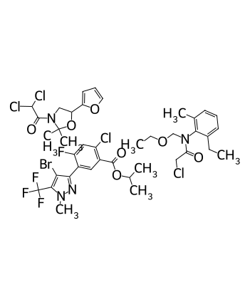 CC(C)OC(=O)c1cc(-c2nn(C)c(C(F)(F)F)c2Br)c(F)cc1Cl.CC1(C)OC(c2ccco2)CN1C(=O)C(Cl)Cl.CCOCN(C(=O)CCl)c1c(C)cccc1CC